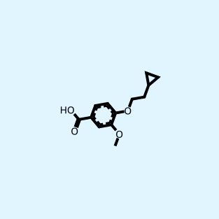 COc1cc(C(=O)O)ccc1OCCC1CC1